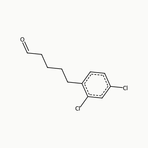 O=CCCCCc1ccc(Cl)cc1Cl